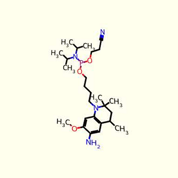 COc1cc2c(cc1N)C(C)CC(C)(C)N2CCCCOP(OCCC#N)N(C(C)C)C(C)C